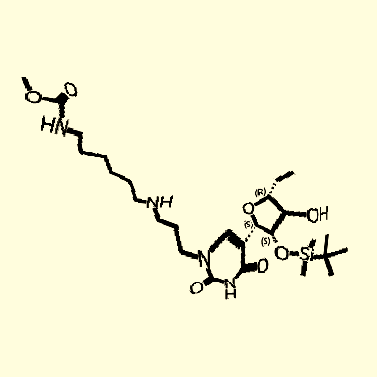 CC[C@H]1O[C@@H](c2cn(CCCNCCCCCCNC(=O)OC)c(=O)[nH]c2=O)[C@@H](O[Si](C)(C)C(C)(C)C)C1O